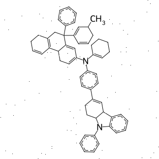 CC1C=C(C2(c3ccccc3)CC3=C(C=CCC3)C3CC=C(N(C4=CCCCC4)c4ccc(C5=CC6c7ccccc7N(c7ccccc7)C6CC5)cc4)C=C32)C=CC1